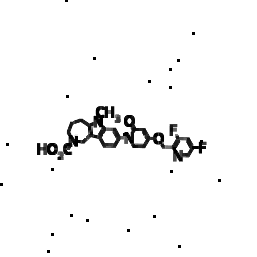 Cn1c2c(c3ccc(-n4ccc(OCc5ncc(F)cc5F)cc4=O)cc31)CN(C(=O)O)CCC2